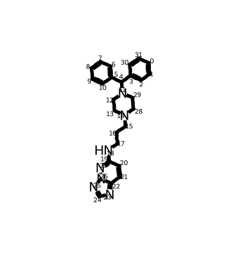 c1ccc(C(c2ccccc2)N2CCN(CCCNc3ccc4ncnn4n3)CC2)cc1